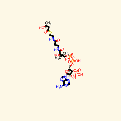 C[C@@H](O)CC(=O)SCCNC(=O)CCNC(=O)C(O)C(C)(C)COP(=O)(O)OP(=O)(O)OC[C@H]1O[C@@H](n2cnc3c(N)ncnc32)[C@H](O)[C@@H]1OP(=O)(O)O